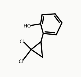 Oc1ccccc1C1CC1(Cl)Cl